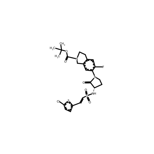 CC(C)(C)OC(=O)N1CCc2cc(F)c(N3CC[C@H](NS(=O)(=O)/C=C/c4ccc(Cl)s4)C3=O)cc2C1